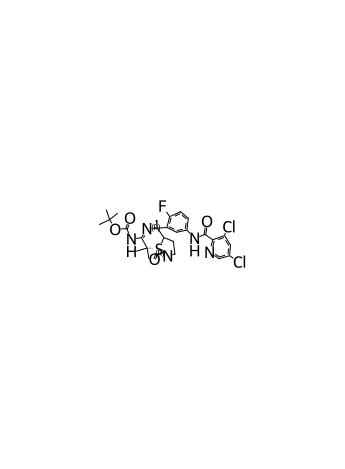 CC(C)(C)OC(=O)NC1=N[C@](C)(c2cc(NC(=O)c3ncc(Cl)cc3Cl)ccc2F)C2CCN=[S@]2(=O)C1(C)C